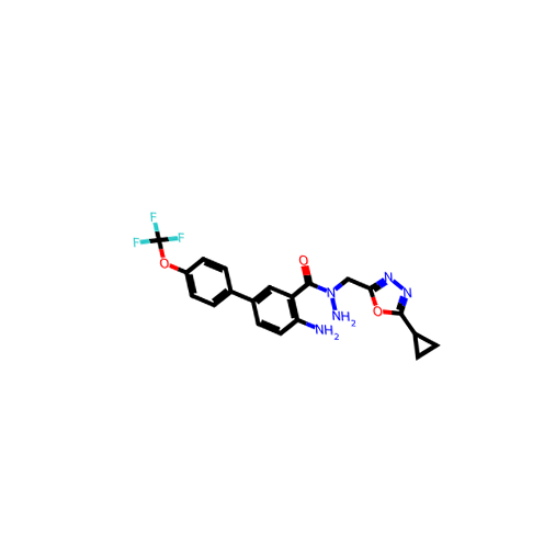 Nc1ccc(-c2ccc(OC(F)(F)F)cc2)cc1C(=O)N(N)Cc1nnc(C2CC2)o1